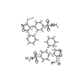 CCc1noc(-c2ccccc2)c1-c1ccc(S(N)(=O)=O)cc1.NS(=O)(=O)c1ccc(-c2c(-c3ccccc3)noc2C(F)F)cc1